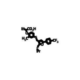 CCC(Oc1ccc(SCc2cc(-c3ccc(C(F)(F)F)cc3)oc2CCC(C)C)cc1C)C(=O)O